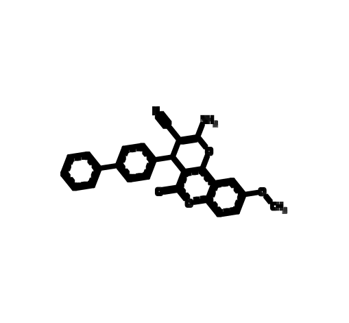 COc1ccc2oc(=O)c3c(c2c1)OC(N)=C(C#N)C3c1ccc(-c2ccccc2)cc1